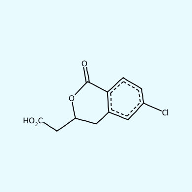 O=C(O)CC1Cc2cc(Cl)ccc2C(=O)O1